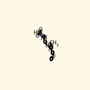 COc1ccc(-c2ccc(Oc3ccccc3)cc2)nc1CNCC1CCN(c2nccc(/C=C3\SC(=O)NC3=O)n2)CC1